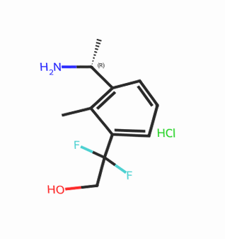 Cc1c([C@@H](C)N)cccc1C(F)(F)CO.Cl